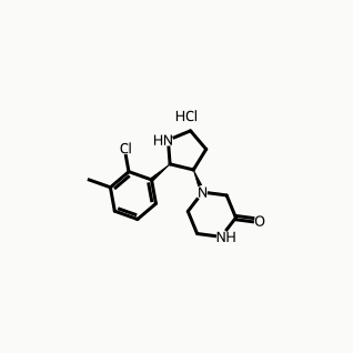 Cc1cccc([C@H]2NCC[C@H]2N2CCNC(=O)C2)c1Cl.Cl